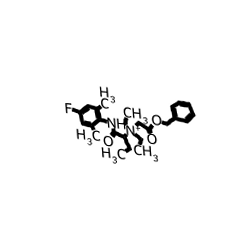 CCC(C(=O)Nc1c(C)cc(F)cc1C)[N+](CC)(CC)CC(=O)OCc1ccccc1